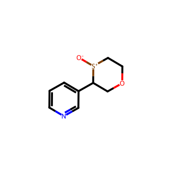 [O-][S+]1CCOCC1c1cccnc1